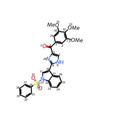 COc1cc(C(=O)c2c[nH]c(-c3cn(S(=O)(=O)c4ccccc4)c4ccccc34)n2)cc(OC)c1OC